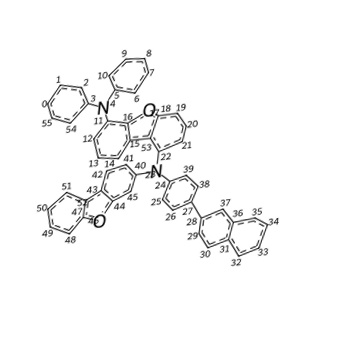 c1ccc(N(c2ccccc2)c2cccc3c2oc2cccc(N(c4ccc(-c5ccc6ccccc6c5)cc4)c4ccc5c(c4)oc4ccccc45)c23)cc1